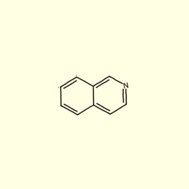 [c]1[c]c2cnccc2cc1